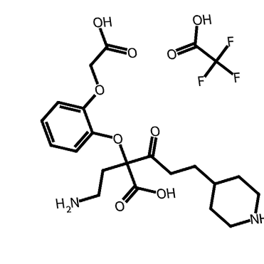 NCCC(Oc1ccccc1OCC(=O)O)(C(=O)O)C(=O)CCC1CCNCC1.O=C(O)C(F)(F)F